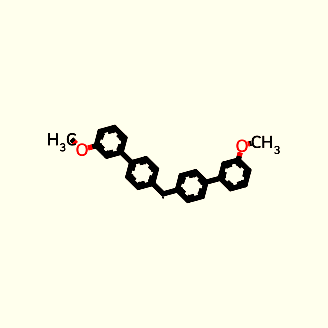 COc1cccc(-c2ccc([CH]c3ccc(-c4cccc(OC)c4)cc3)cc2)c1